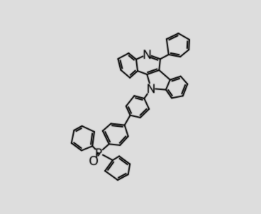 O=P(c1ccccc1)(c1ccccc1)c1ccc(-c2ccc(-n3c4ccccc4c4c(-c5ccccc5)nc5ccccc5c43)cc2)cc1